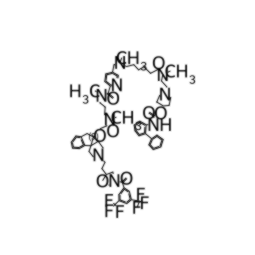 CN(CCCCCC(=O)N(C)CCN1CCC(OC(=O)Nc2ccccc2-c2ccccc2)CC1)Cc1ccc(C(=O)N(C)CCCN(C)C(=O)CO[C@H]2Cc3ccccc3C23CCN(CCC2CN(C(=O)c4cc(C(F)(F)F)cc(C(F)(F)F)c4)CO2)CC3)nc1